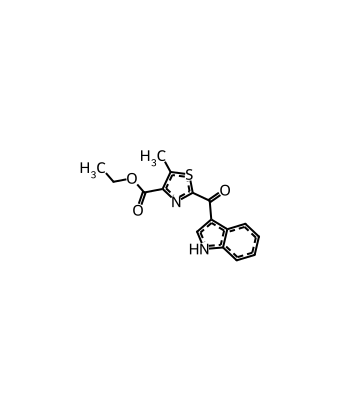 CCOC(=O)c1nc(C(=O)c2c[nH]c3ccccc23)sc1C